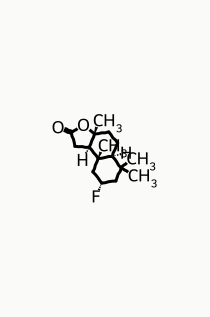 CC1(C)C[C@H](F)C[C@]2(C)[C@H]3CC(=O)O[C@]3(C)CC[C@@H]12